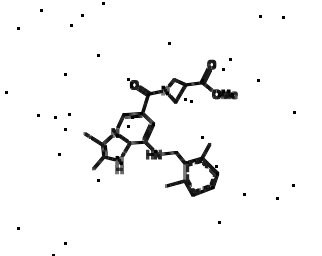 COC(=O)C1CN(C(=O)C2=CN3C(C)=C(C)NC3C(NCc3c(C)cccc3C)=C2)C1